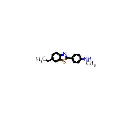 CCc1ccc2nc(-c3ccc(NC)cc3)sc2c1